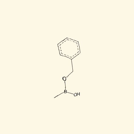 CB(O)OCc1ccccc1